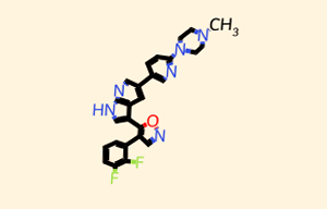 CN1CCN(c2ccc(-c3cnc4[nH]cc(-c5oncc5-c5cccc(F)c5F)c4c3)cn2)CC1